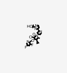 Cc1c(C2CC2)c(OCc2ncc(F)cc2F)c(Cl)c(=O)n1-c1ccnc(-c2ccnc(C(C)(C)O)n2)c1